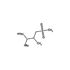 CCCCCCC(CCCC)C(C)CS(C)(=O)=O